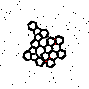 c1ccc(-c2cccc(-c3ccccc3)c2-c2c3ccccc3c(-c3c4c5cccc6c7ccccc7n(c4cc4c7cccc8c9ccccc9n(c34)c87)c65)c3ccccc23)cc1